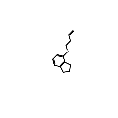 C=CCCOc1cccc2c1CCC2